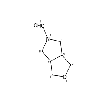 O=CN1CC2COCC2C1